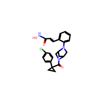 O=C(/C=C/c1ccccc1N1CC2CC1CN2C(=O)C1(c2ccc(Cl)cc2)CC1)NO